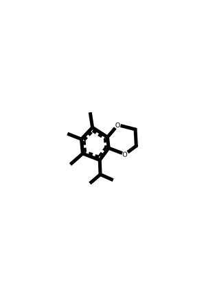 Cc1c(C)c2c(c(C(C)C)c1C)OCCO2